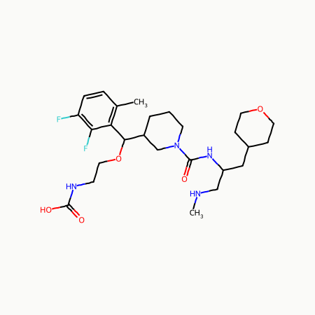 CNCC(CC1CCOCC1)NC(=O)N1CCCC(C(OCCNC(=O)O)c2c(C)ccc(F)c2F)C1